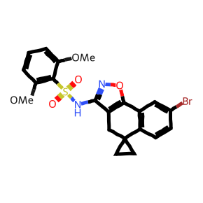 COc1cccc(OC)c1S(=O)(=O)Nc1noc2c1CC1(CC1)c1ccc(Br)cc1-2